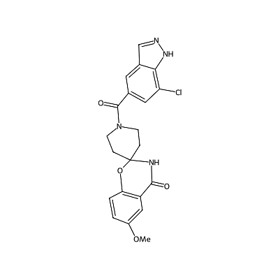 COc1ccc2c(c1)C(=O)NC1(CCN(C(=O)c3cc(Cl)c4[nH]ncc4c3)CC1)O2